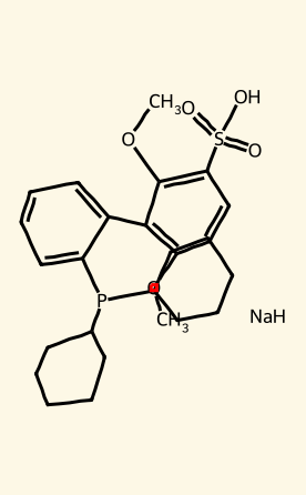 COc1ccc(S(=O)(=O)O)c(OC)c1-c1ccccc1P(C1CCCCC1)C1CCCCC1.[NaH]